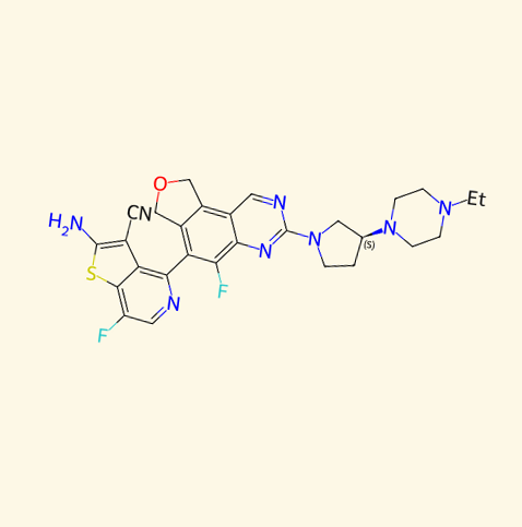 CCN1CCN([C@H]2CCN(c3ncc4c5c(c(-c6ncc(F)c7sc(N)c(C#N)c67)c(F)c4n3)COC5)C2)CC1